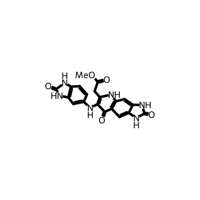 COC(=O)Cc1[nH]c2cc3[nH]c(=O)[nH]c3cc2c(=O)c1Nc1ccc2[nH]c(=O)[nH]c2c1